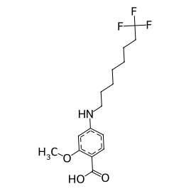 COc1cc(NCCCCCCCC(F)(F)F)ccc1C(=O)O